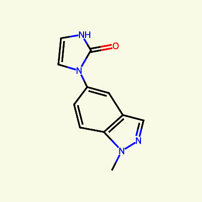 Cn1ncc2cc(-n3cc[nH]c3=O)ccc21